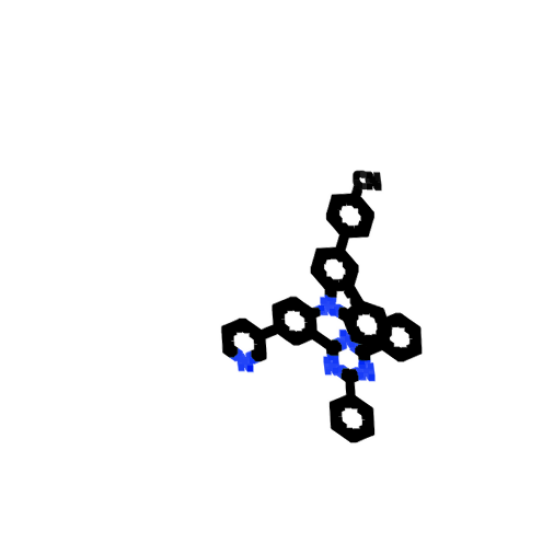 N#Cc1ccc(-c2ccc3c(c2)c2ccccc2n3-c2ccc(-c3cccnc3)cc2-c2nc(-c3ccccc3)nc(-c3ccccc3)n2)cc1